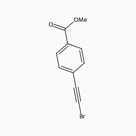 COC(=O)c1ccc(C#CBr)cc1